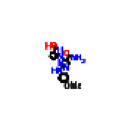 CO[C@H]1CC[C@H](Nc2ncc(C(N)=O)c(N[C@H]3CCC[C@H]3CO)n2)CC1